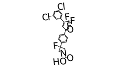 O=C(C=C(c1cc(Cl)cc(Cl)c1)C(F)(F)F)c1ccc(C2(F)CN(C(=O)O)C2)cc1